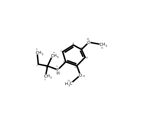 CCC(C)(C)Pc1ccc(OC)cc1OC